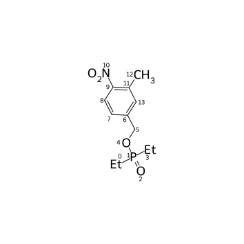 CCP(=O)(CC)OCc1ccc([N+](=O)[O-])c(C)c1